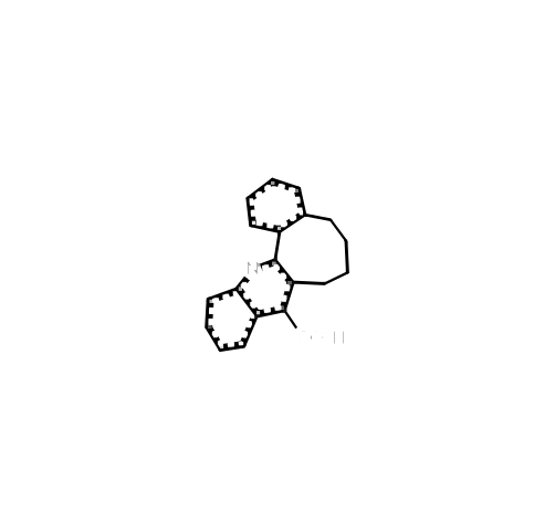 O=C(O)c1c2c(nc3ccccc13)-c1ccccc1CCCC2